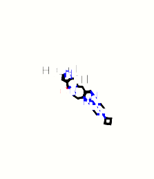 Cc1cc(C(=O)N2CCc3cnc(N4CCN(C5CCC5)CC4)nc3CC2)c(C)n1C